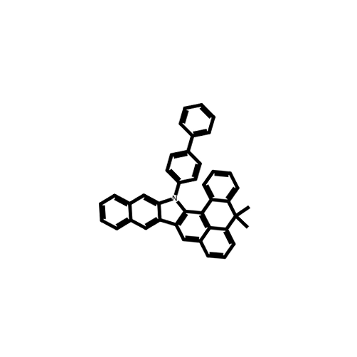 CC1(C)c2ccccc2-c2c3c1cccc3cc1c3cc4ccccc4cc3n(-c3ccc(-c4ccccc4)cc3)c21